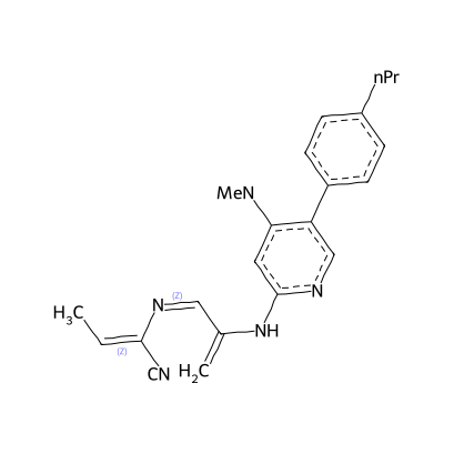 C=C(/C=N\C(C#N)=C/C)Nc1cc(NC)c(-c2ccc(CCC)cc2)cn1